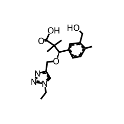 CCn1cc(CO[C@H](c2ccc(C)c(CO)c2)C(C)(C)C(=O)O)nn1